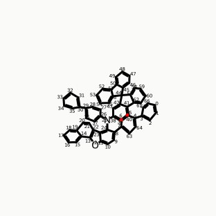 c1ccc(-c2ccc(-c3ccc4oc5c6ccccc6ccc5c4c3N(c3ccc(-c4ccccc4)cc3)c3ccc4c(c3)C3(c5ccccc5-c5ccccc53)c3ccccc3-4)cc2)cc1